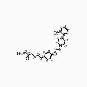 CCc1ccccc1N1CCN(CCOc2ccc(CCCCC(=O)CO)cc2)CC1